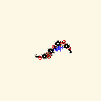 CCCOc1ccc(S(=O)(=O)Oc2cccc(NC(=O)Nc3cccc(OS(=O)(=O)c4ccc(OCCC)cc4)c3)c2)cc1